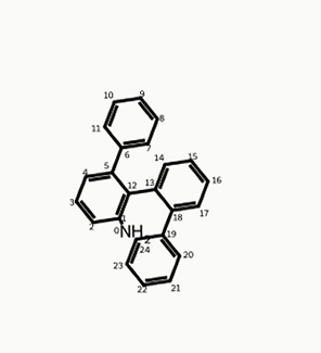 Nc1cccc(-c2ccccc2)c1-c1ccccc1-c1ccccc1